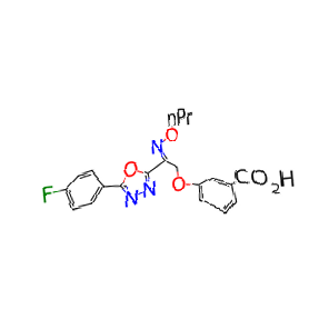 CCCO/N=C(\COc1cccc(C(=O)O)c1)c1nnc(-c2ccc(F)cc2)o1